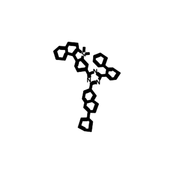 C[Si]1(C)c2cc(-c3nc(-c4ccc5cc(-c6ccccc6)ccc5c4)nc(-c4ccccc4-c4ccccc4)n3)ccc2-c2c1ccc1ccccc21